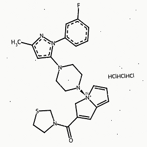 Cc1cc(N2CCN([N@@+]34C=CC=C3C=C(C(=O)N3CCSC3)C4)CC2)n(-c2cccc(F)c2)n1.Cl.Cl.Cl